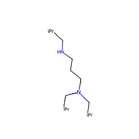 CC(C)CNCCCN(CC(C)C)CC(C)C